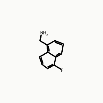 NCc1cccc2c(F)cccc12